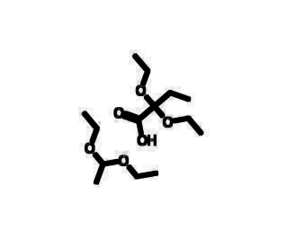 CCOC(C)OCC.CCOC(CC)(OCC)C(=O)O